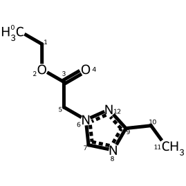 CCOC(=O)Cn1cnc(CC)n1